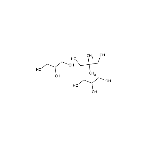 CC(C)(CO)CO.OCC(O)CO.OCC(O)CO